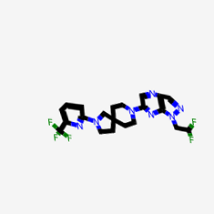 FC(F)Cn1ncc2ncc(N3CCC4(CCN(c5cccc(C(F)(F)F)n5)C4)CC3)nc21